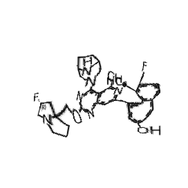 C#Cc1c(F)ccc2cc(O)cc(-c3cc4nc(OCC56CCCN5C[C@H](F)C6)nc(N5CC6CCC(C5)N6)c4c(C)n3)c12